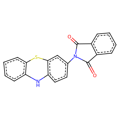 O=C1c2ccccc2C(=O)N1c1ccc2c(c1)Sc1ccccc1N2